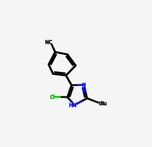 CC(C)(C)c1nc(-c2ccc(C#N)cc2)c(Cl)[nH]1